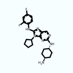 N[C@H]1CC[C@H](Nc2ncc3nc(Nc4ccc(F)cc4F)n(C4CCCC4)c3n2)CC1